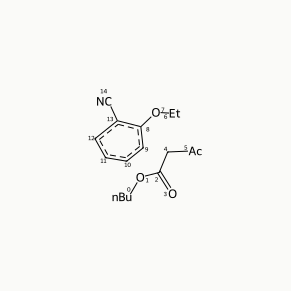 CCCCOC(=O)CC(C)=O.CCOc1ccccc1C#N